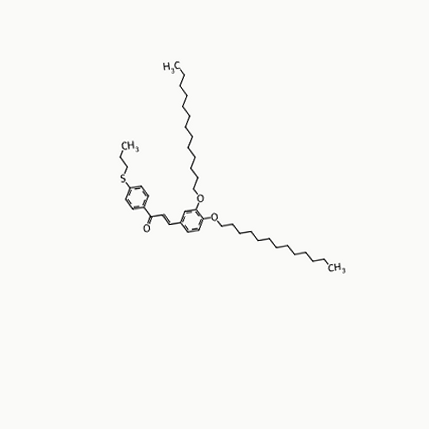 CCCCCCCCCCCCCOc1ccc(C=CC(=O)c2ccc(SCCC)cc2)cc1OCCCCCCCCCCCCC